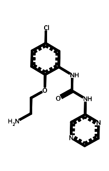 NCCOc1ccc(Cl)cc1NC(=O)Nc1cnccn1